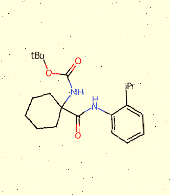 CC(C)c1ccccc1NC(=O)C1(NC(=O)OC(C)(C)C)CCCCC1